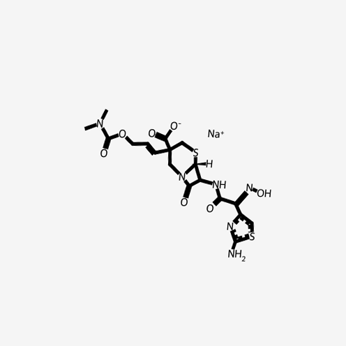 CN(C)C(=O)OCC=CC1(C(=O)[O-])CS[C@@H]2C(NC(=O)C(=NO)c3csc(N)n3)C(=O)N2C1.[Na+]